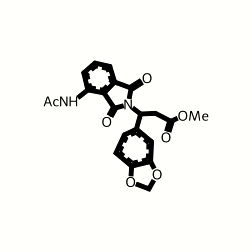 COC(=O)CC(c1ccc2c(c1)OCO2)N1C(=O)c2cccc(NC(C)=O)c2C1=O